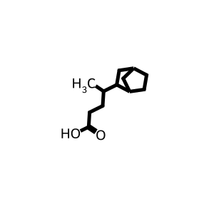 CC(CCC(=O)O)C1CC2CCC1C2